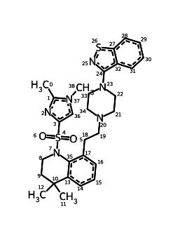 Cc1nc(S(=O)(=O)N2CCC(C)(C)c3cccc(CCN4CCN(c5nsc6ccccc56)CC4)c32)cn1C